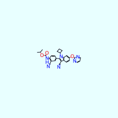 CC(C)OC(=O)Nc1ccc(-c2c(C#N)c3ccc(Oc4ncccn4)cc3n2C2CCC2)cc1C#N